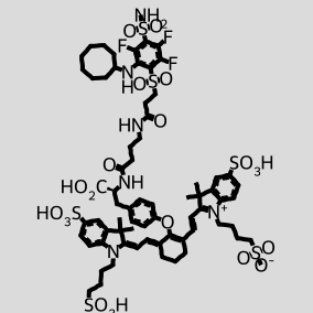 CC1(C)C(/C=C/C2=C(Oc3ccc(C[C@H](NC(=O)CCCNC(=O)CCS(=O)(=O)c4c(F)c(F)c(S(N)(=O)=O)c(F)c4NC4CCCCCCC4)C(=O)O)cc3)C(=C/C=C3/N(CCCCS(=O)(=O)O)c4ccc(S(=O)(=O)O)cc4C3(C)C)/CCC2)=[N+](CCCCS(=O)(=O)[O-])c2ccc(S(=O)(=O)O)cc21